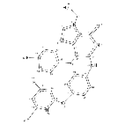 CCn1cnc2c1c(=O)nc(Nc1ccc(Oc3cc(F)cc(F)n3)cc1)n2Cc1ccc(F)cc1